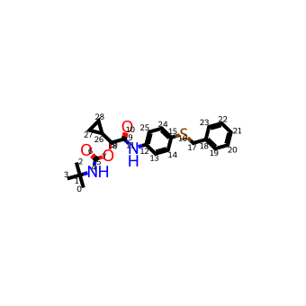 CC(C)(C)NC(=O)O[C@H](C(=O)Nc1ccc(SCc2ccccc2)cc1)C1CC1